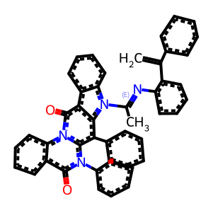 C=C(c1ccccc1)c1ccccc1/N=C(\C)n1c2ccccc2c2c(=O)n3c4ccccc4c(=O)n(-c4ccccc4)c3c(-c3ccccc3)c21